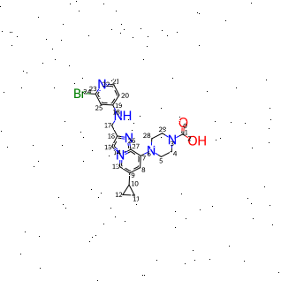 O=C(O)N1CCN(c2cc(C3CC3)cn3cc(CNc4ccnc(Br)c4)nc23)CC1